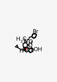 CN(C(=O)Cc1cccc(Br)c1)[C@@H]1CC[C@@]2(O)[C@H]3Cc4ccc(O)c5c4[C@@]2(CCN3CC2CC2)[C@H]1O5